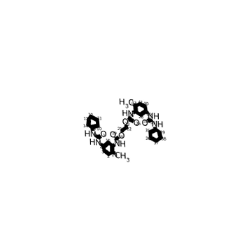 Cc1ccc(NC(=O)Nc2ccccc2)cc1NC(=O)OCCOC(=O)Nc1cc(NC(=O)Nc2ccccc2)ccc1C